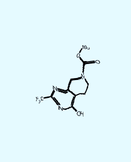 CC(C)(C)OC(=O)N1CCc2c(O)nc(C(F)(F)F)nc2C1